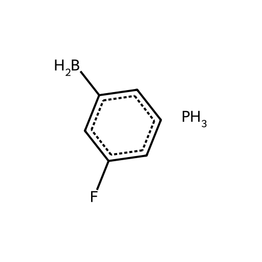 Bc1cccc(F)c1.P